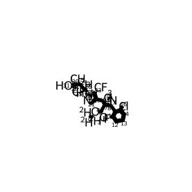 [2H]C([2H])([2H])OC(=O)c1c(-c2c(F)cccc2Cl)noc1-c1cnn(C([2H])([2H])CC(C)(C)O)c1C(F)(F)F